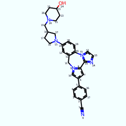 N#Cc1ccc(-c2cc3n(c2)Cc2cc(N4CCC(CN5CCC(O)CC5)C4)ccc2-n2ccnc2-3)cc1